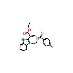 CCOC(=O)C1=CN(C(=O)c2ccc(C)cc2)CCc2c1[nH]c1ccccc21